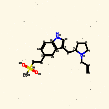 C=CCN1CCC[C@@H]1Cc1c[nH]c2ccc(CCS(=O)(=O)CC)cc12